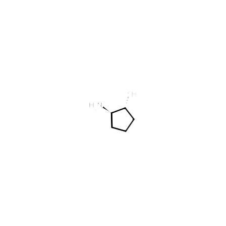 N[C@@H]1CCC[C@H]1S